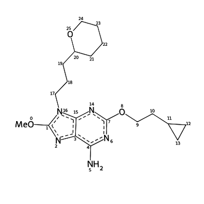 COc1nc2c(N)nc(OCCC3CC3)nc2n1CCCC1CCCCO1